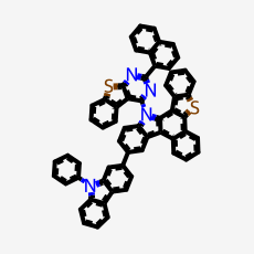 c1ccc(-n2c3ccccc3c3ccc(-c4ccc5c(c4)c4c6ccccc6c6sc7ccccc7c6c4n5-c4nc(-c5cccc6ccccc56)nc5sc6ccccc6c45)cc32)cc1